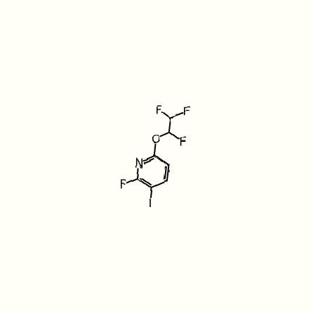 Fc1nc(OC(F)C(F)F)ccc1I